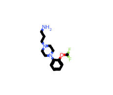 NCCCN1CCN(c2ccccc2OC(F)F)CC1